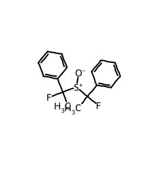 CC(F)(c1ccccc1)[S+]([O-])C(C)(F)c1ccccc1